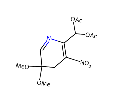 COC1(OC)C=NC(C(OC(C)=O)OC(C)=O)=C([N+](=O)[O-])C1